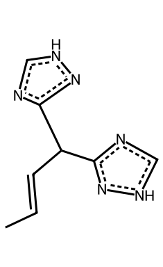 CC=CC(c1nc[nH]n1)c1nc[nH]n1